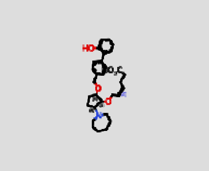 O=C(O)CC/C=C\CO[C@H]1[C@H](OCc2ccc(-c3ccccc3O)cc2)CC[C@@H]1N1CCCCCC1